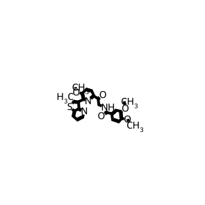 COc1ccc(C(=O)NCC(=O)c2ccc(OC)c(-c3c(C)sc4cccnc34)n2)cc1OC